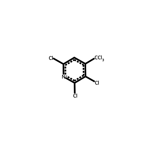 Clc1cc(C(Cl)(Cl)Cl)c(Cl)c(Cl)n1